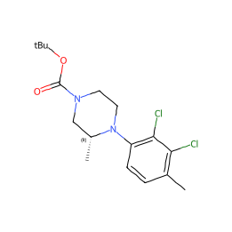 Cc1ccc(N2CCN(C(=O)OC(C)(C)C)C[C@H]2C)c(Cl)c1Cl